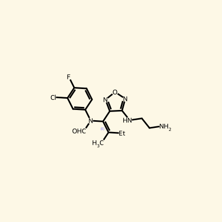 CC/C(C)=C(\c1nonc1NCCN)N(C=O)c1ccc(F)c(Cl)c1